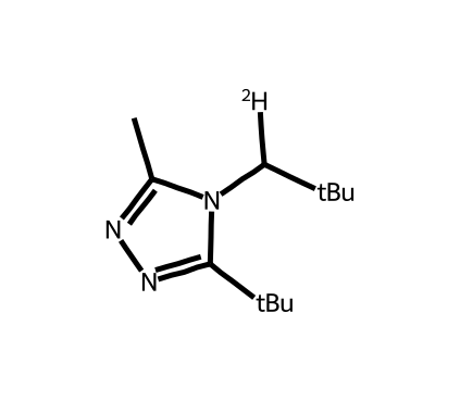 [2H]C(n1c(C)nnc1C(C)(C)C)C(C)(C)C